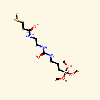 CO[Si](CCCNC(=O)NCCNC(=O)CCSC)(OC)OC